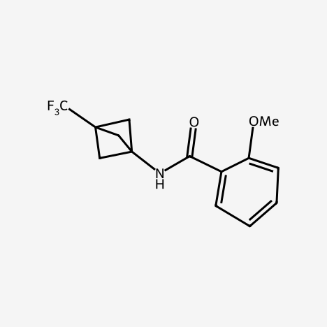 COc1ccccc1C(=O)NC12CC(C(F)(F)F)(C1)C2